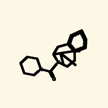 CC1(C)Oc2cccc3c2CCN(C(=O)N2CCCCC2)C1C3